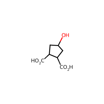 O=C(O)C1CC(O)CC1C(=O)O